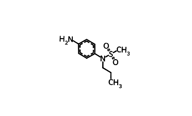 CCCN(c1ccc(N)cc1)S(C)(=O)=O